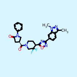 Cc1nn(C)c2cc(-c3noc(C4CCN(C(=O)[C@H]5CC(=O)N(c6ccccc6)C5)CC4(F)F)n3)ccc12